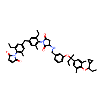 CCc1cc(Cc2cc(C)c(N3C(=O)CC(NCc4cccc(OC(C)(CC)c5cc(C)c(OC(CC)C6CC6)c(C)c5)c4)C3=O)c(CC)c2)cc(C)c1N1C(=O)C=CC1=O